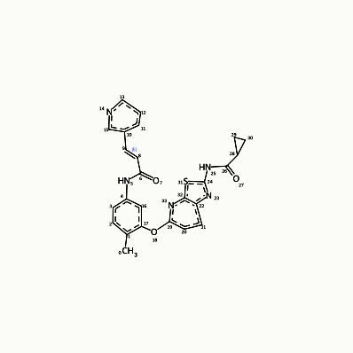 Cc1ccc(NC(=O)/C=C/c2cccnc2)cc1Oc1ccc2nc(NC(=O)C3CC3)sc2n1